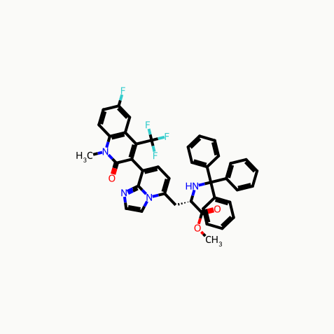 COC(=O)[C@H](Cc1ccc(-c2c(C(F)(F)F)c3cc(F)ccc3n(C)c2=O)c2nccn12)NC(c1ccccc1)(c1ccccc1)c1ccccc1